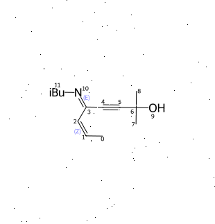 C/C=C\C(C#CC(C)(C)O)=N/C(C)CC